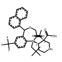 CC(=O)[C@@]1(C(=O)O)CNCC[C@H]1[N+]1(CC(C)(C)C)C(=O)COC(c2cccc3ccccc23)c2cc(C(F)(F)F)ccc21